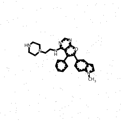 Cn1ccc2cc(-c3oc4ncnc(NCCN5CCNCC5)c4c3-c3ccccc3)ccc21